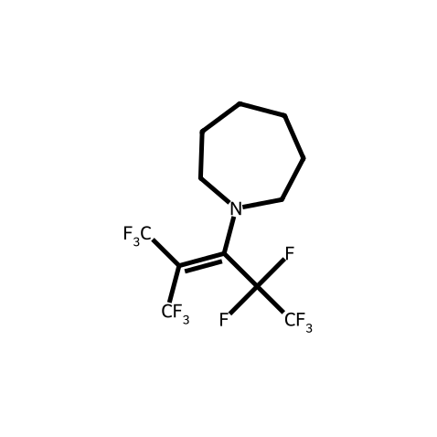 FC(F)(F)C(=C(N1CCCCCC1)C(F)(F)C(F)(F)F)C(F)(F)F